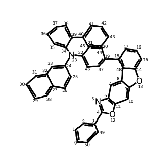 c1ccc(-c2nc3cc4c(cc3o2)oc2cccc(-c3ccc(N(c5ccc6ccccc6c5)c5ccccc5-c5ccccc5)cc3)c24)cc1